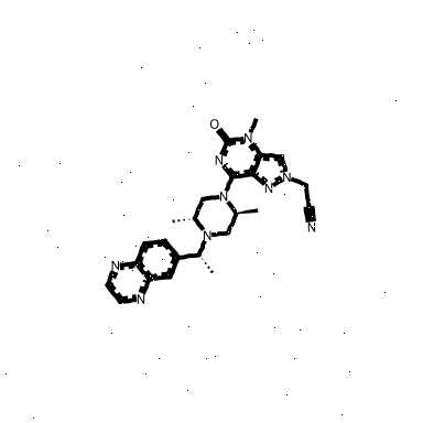 C[C@@H]1CN(c2nc(=O)n(C)c3cn(CC#N)nc23)[C@@H](C)CN1[C@H](C)c1ccc2nccnc2c1